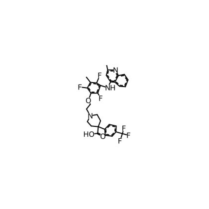 Cc1cc(Nc2c(F)c(C)c(F)c(OCCN3CCC(C(=O)O)(c4ccc(C(F)(F)F)cc4)CC3)c2F)c2ccccc2n1